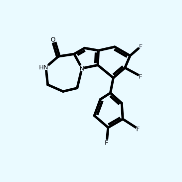 O=C1NCCCn2c1cc1cc(F)c(F)c(-c3ccc(F)c(F)c3)c12